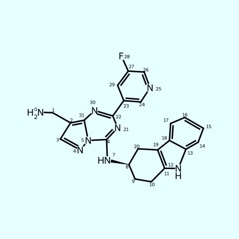 NCc1cnn2c(N[C@@H]3CCc4[nH]c5ccccc5c4C3)nc(-c3cncc(F)c3)nc12